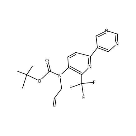 C=CCN(C(=O)OC(C)(C)C)c1ccc(-c2cncnc2)nc1C(F)(F)F